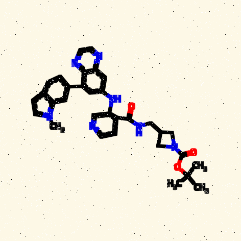 Cn1ccc2ccc(-c3cc(Nc4cnccc4C(=O)NCC4CN(C(=O)OC(C)(C)C)C4)cc4nccnc34)cc21